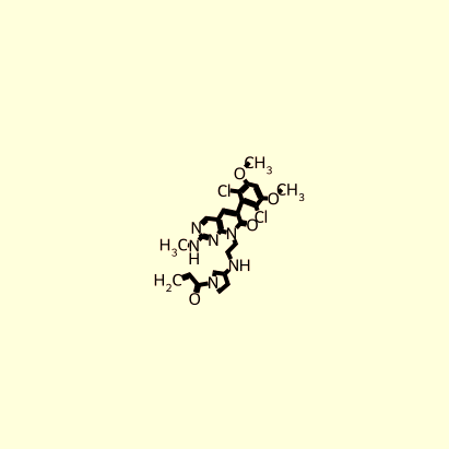 C=CC(=O)N1CCC(NCCn2c(=O)c(-c3c(Cl)c(OC)cc(OC)c3Cl)cc3cnc(NC)nc32)C1